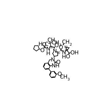 C=C[C@@H]1C[C@]1(NC(=O)[C@@H]1CC(N2Cc3cccc(-c4cccc(OC)c4)c3NC2=O)CN1C(=O)[C@@H](NC(=O)OC1CCCC1)C(C)(C)C)C(=O)O